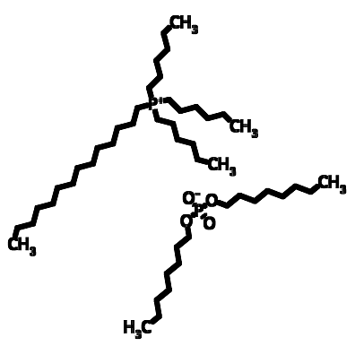 CCCCCCCCCCCCCC[P+](CCCCCC)(CCCCCC)CCCCCC.CCCCCCCCOP(=O)([O-])OCCCCCCCC